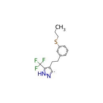 CCCSc1cccc(CCc2[c]n[nH]c2C(F)(F)F)c1